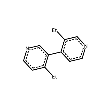 CCc1cnccc1-c1cnccc1CC